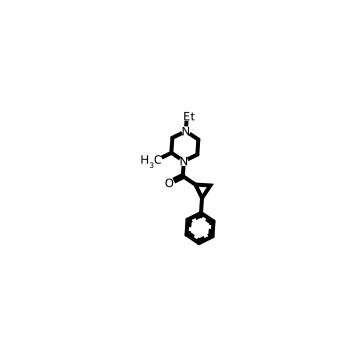 CCN1CCN(C(=O)C2CC2c2ccccc2)C(C)C1